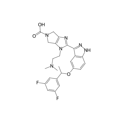 CC(Oc1ccc2[nH]nc(-c3nc4c(n3CCN(C)C)CN(C(=O)O)C4)c2c1)c1cc(F)cc(F)c1